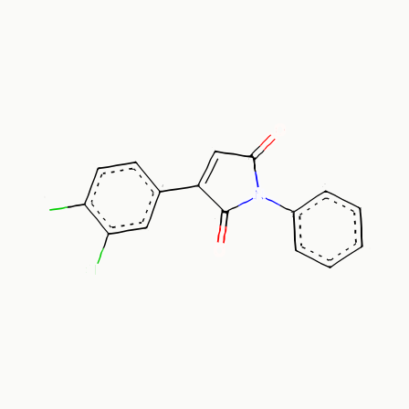 O=C1C=C(c2ccc(Cl)c(Cl)c2)C(=O)N1c1ccccc1